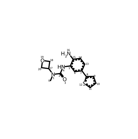 CN(C(=O)Nc1cc(-c2cccs2)ccc1N)C1COC1